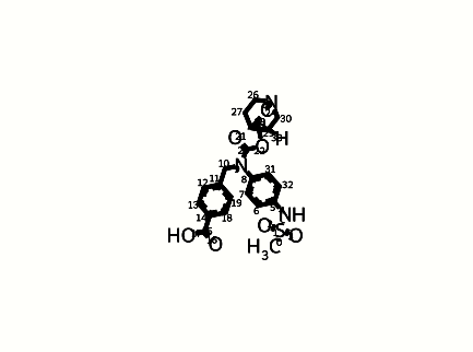 CS(=O)(=O)Nc1ccc(N(Cc2ccc(C(=O)O)cc2)C(=O)O[C@H]2CN3CCC2CC3)cc1